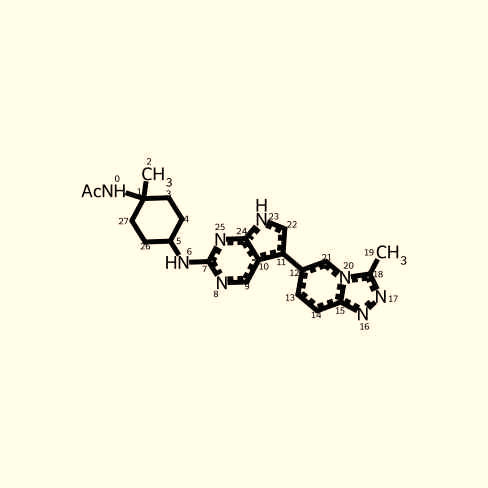 CC(=O)NC1(C)CCC(Nc2ncc3c(-c4ccc5nnc(C)n5c4)c[nH]c3n2)CC1